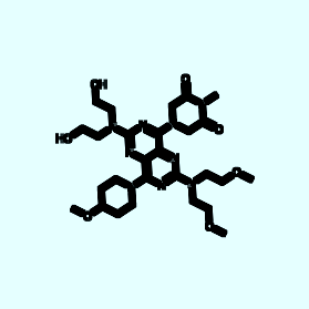 COCCN(CCOC)c1nc(N2CCC(OC)CC2)c2nc(N(CCO)CCO)nc(N3CC(=O)N(C)C(=O)C3)c2n1